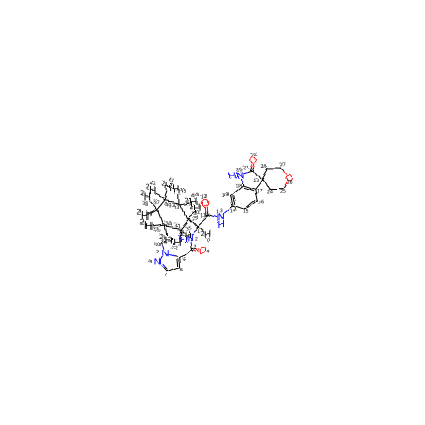 [2H]C(NC(=O)c1ccnn1C)(C(=O)Nc1ccc2c(c1)NC(=O)C21CCOCC1)C1([2H])C([2H])([2H])C([2H])([2H])C([2H])([2H])C([2H])([2H])C1([2H])[2H]